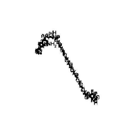 CCCN(CCCNC(=O)OCCOCCOCCOCCOCCOCCOCCOCCOCCOCCOCCC(=O)Oc1c(F)c(F)c([SH](=O)=O)c(F)c1F)C(=O)C1=Cc2ccc(-c3cncnc3)cc2N=C(N)C1